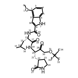 COc1cccc2[nH]c(C(=O)N[C@@H](CC(C)C)C(=O)N[C@@H](C[C@@H]3CCNC3=O)C(=O)COC(F)(F)F)cc12